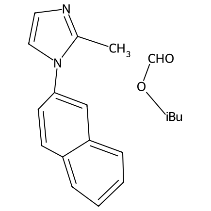 CCC(C)OC=O.Cc1nccn1-c1ccc2ccccc2c1